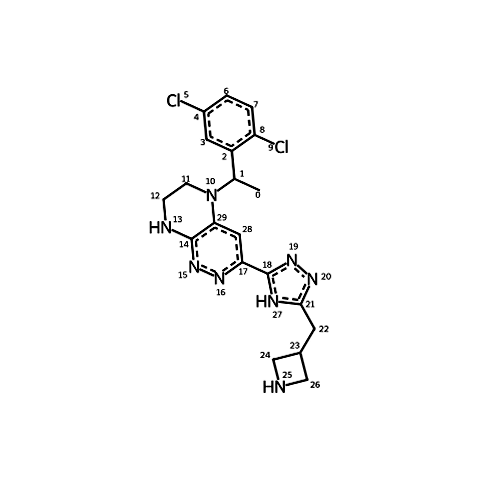 CC(c1cc(Cl)ccc1Cl)N1CCNc2nnc(-c3nnc(CC4CNC4)[nH]3)cc21